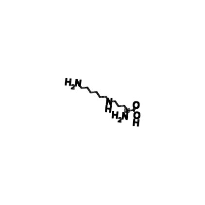 NCCCCCCNCCC[C@H](N)C(=O)O